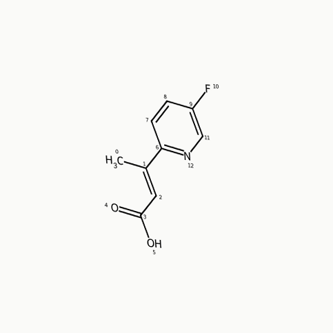 CC(=CC(=O)O)c1ccc(F)cn1